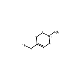 CN1CC=C(CI)CC1